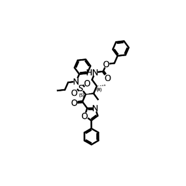 CCCN(c1ccccc1)S(=O)(=O)[C@H](C(=O)c1ncc(-c2ccccc2)o1)C(C)[C@@H](C)CNC(=O)OCc1ccccc1